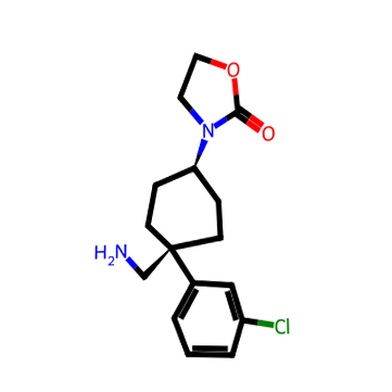 NC[C@]1(c2cccc(Cl)c2)CC[C@H](N2CCOC2=O)CC1